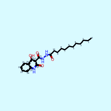 CCCCCCCCCCCC(=O)NNC(=O)c1c(O)c2ccccc2[nH]c1=O